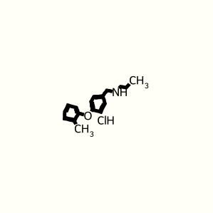 CCCNCc1ccc(Oc2ccccc2C)cc1.Cl